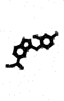 COC(=O)c1ccc2occ(Cc3ccc(Cl)cc3Cl)c2c1